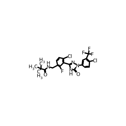 CC(C)(C)C(=O)NCc1ccc(Cl)c(-c2nn(-c3ccc(Cl)c(C(F)(F)F)c3)c(=O)[nH]2)c1F